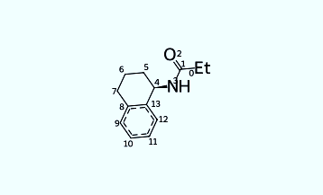 CCC(=O)N[C@@H]1CCCc2ccccc21